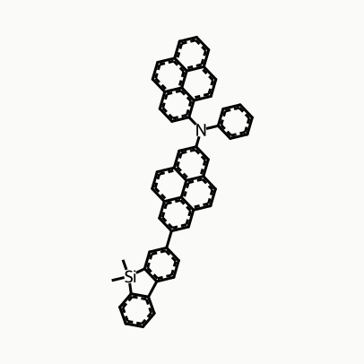 C[Si]1(C)c2ccccc2-c2ccc(-c3cc4ccc5cc(N(c6ccccc6)c6ccc7ccc8cccc9ccc6c7c89)cc6ccc(c3)c4c56)cc21